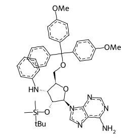 COc1ccc(C(OC[C@H]2O[C@@H](n3cnc4c(N)ncnc43)[C@H](O[Si](C)(C)C(C)(C)C)[C@@H]2Nc2ccccc2)(c2ccccc2)c2ccc(OC)cc2)cc1